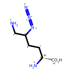 [N-]=[N+]=NC(CN)CC[C@@H](N)C(=O)O